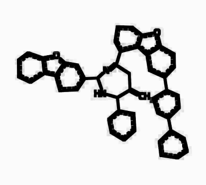 C=C1CC(c2cccc3oc4ccc(-c5ccc(-c6ccccc6)cc5)cc4c23)=NC(c2ccc3c(c2)oc2ccccc23)NC1c1ccccc1